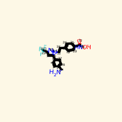 NCc1ccc(-c2cc(C(F)(F)F)nn2CCc2ccc(C(=O)NO)cc2)cc1